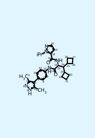 Cc1n[nH]c(C)c1-c1ccc(NC(=O)[C@@H](NC(=O)c2ccnn2C(C)C)C(C2CCC2)C2CCC2)cc1